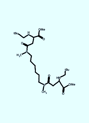 COC(=O)C(CC(=O)N(C)CCCCCCN(C)C(=O)CC(NCC(C)(C)C)C(=O)OC)NCC(C)(C)C